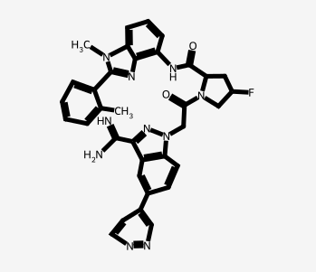 Cc1ccccc1-c1nc2c(NC(=O)C3CC(F)CN3C(=O)Cn3nc(C(=N)N)c4cc(-c5ccnnc5)ccc43)cccc2n1C